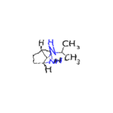 CC(C)N[C@@H]1[C@@H]2CC[C@H]1NC2